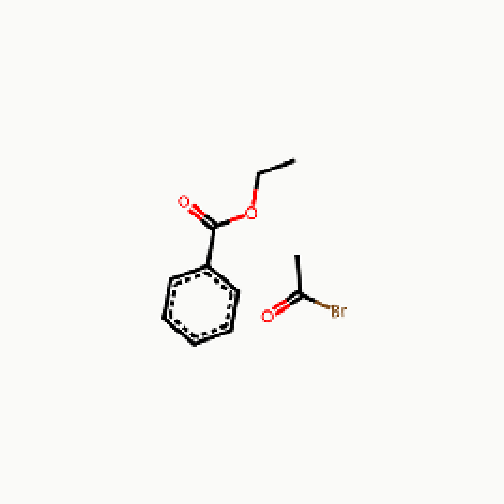 CC(=O)Br.CCOC(=O)c1ccccc1